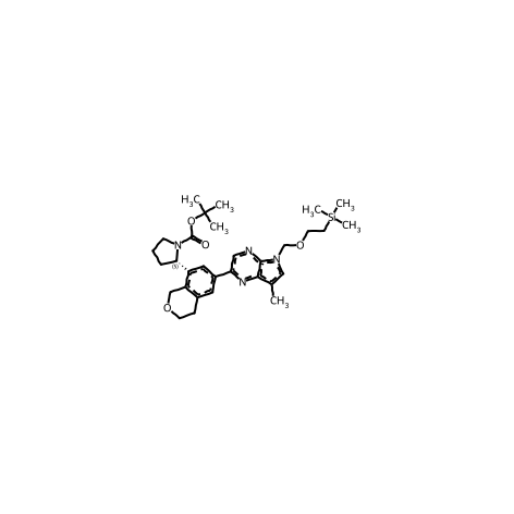 Cc1cn(COCC[Si](C)(C)C)c2ncc(-c3cc4c(c([C@@H]5CCCN5C(=O)OC(C)(C)C)c3)COCC4)nc12